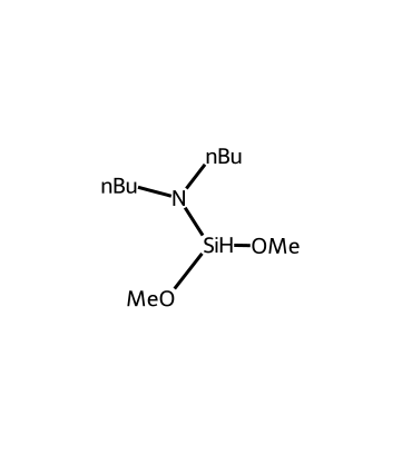 CCCCN(CCCC)[SiH](OC)OC